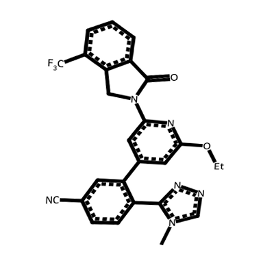 CCOc1cc(-c2cc(C#N)ccc2-c2nncn2C)cc(N2Cc3c(cccc3C(F)(F)F)C2=O)n1